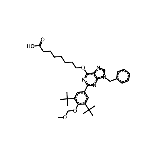 COCOc1c(C(C)(C)C)cc(-c2nc(OCCCCCCCC(=O)O)c3ncn(Cc4ccccc4)c3n2)cc1C(C)(C)C